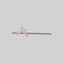 CCCCCCCCCCCCCCCC(=O)NCC(O)COOCCC